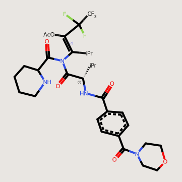 CC(=O)O/C(=C(/C(C)C)N(C(=O)C1CCCCN1)C(=O)[C@@H](NC(=O)c1ccc(C(=O)N2CCOCC2)cc1)C(C)C)C(F)(F)C(F)(F)F